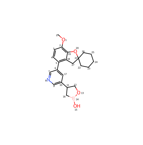 COc1ccc(-c2cncc(C3COB(O)C3)c2)c2c1OC1(CCCCC1)C2